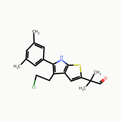 Cc1cc(C)cc(-c2[nH]c3sc(C(C)(C)C=O)cc3c2CCCl)c1